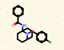 O=C(NC12CCCC(CCC1)N2Cc1ccc(F)cc1)c1ccccc1